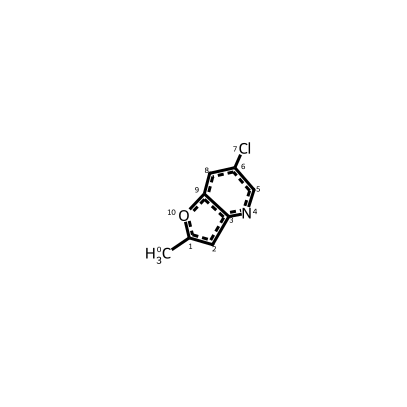 Cc1cc2ncc(Cl)cc2o1